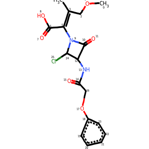 COCC(C)=C(C(=O)O)N1C(=O)C(NC(=O)COc2ccccc2)C1Cl